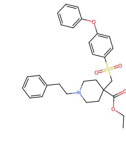 CCOC(=O)C1(CS(=O)(=O)c2ccc(Oc3ccccc3)cc2)CCN(CCc2ccccc2)CC1